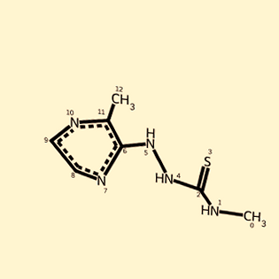 CNC(=S)NNc1nccnc1C